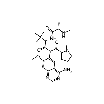 CN[C@@H](C)C(=O)N[C@H](C(=O)N(C(=O)[C@@H]1CCCN1)c1cc2c(N)ncnc2cc1OC)C(C)(C)C